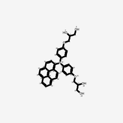 OCC(O)COc1ccc(N(c2ccc(OCC(O)CO)cc2)c2ccc3ccc4cccc5ccc2c3c45)cc1